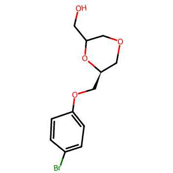 OCC1COC[C@@H](COc2ccc(Br)cc2)O1